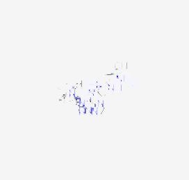 C/C(N)=C/C(=N)Nc1cn2ccnc2c(N[C@@H]2C[C@H]3CC[C@@H](C2)N3CCC#N)n1